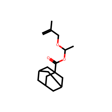 C=C(C)COC(C)OC(=O)C12CC3CC(CC(C3)C1)C2